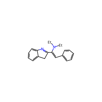 CCN(CC)C(=Cc1ccccc1)C1=Nc2ccccc2C1